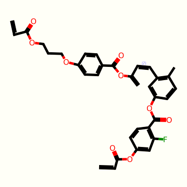 C=CC(=O)OCCCOc1ccc(C(=O)OC(=C)/C=C\c2cc(OC(=O)c3ccc(OC(=O)C=C)cc3F)ccc2C)cc1